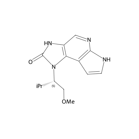 COC[C@H](C(C)C)n1c(=O)[nH]c2cnc3[nH]ccc3c21